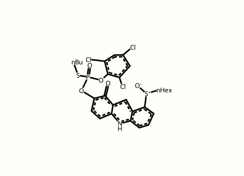 CCCCCC[S+]([O-])c1cccc2[nH]c3ccc(OP(=O)(Oc4c(Cl)cc(Cl)cc4Cl)SCCCC)c(=O)c-3cc12